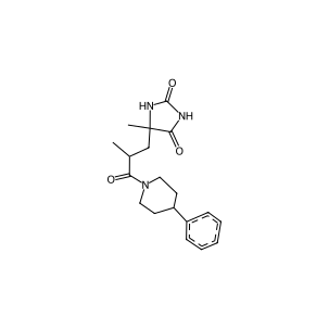 CC(CC1(C)NC(=O)NC1=O)C(=O)N1CCC(c2ccccc2)CC1